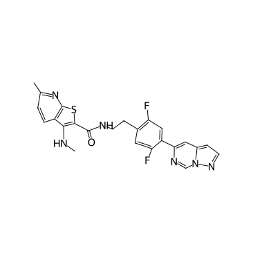 CNc1c(C(=O)NCCc2cc(F)c(-c3cc4ccnn4cn3)cc2F)sc2nc(C)ccc12